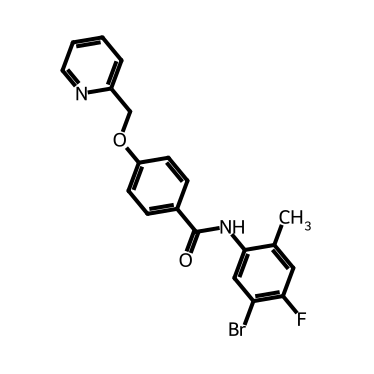 Cc1cc(F)c(Br)cc1NC(=O)c1ccc(OCc2ccccn2)cc1